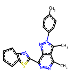 Cc1ccc(-n2nc3c(-c4nc5ccccc5s4)nnc(C)c3c2C)cc1